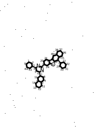 c1ccc(-c2cc(-c3ccc4ccccc4c3)nc(-c3ccc4c(c3)oc3c(-c5ccccc5)c5ccccc5cc34)n2)cc1